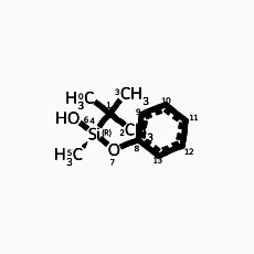 CC(C)(C)[Si@](C)(O)Oc1ccccc1